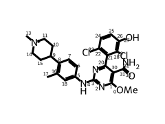 COc1nc(Nc2ccc(C3CCN(C)CC3)c(C)c2)nc(-c2c(Cl)ccc(O)c2Cl)c1C(N)=O